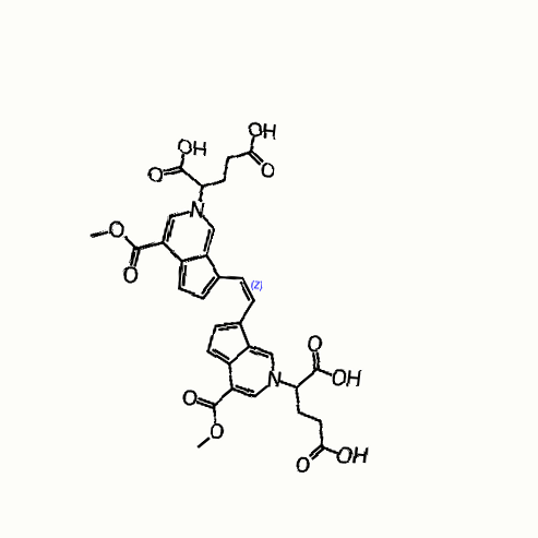 COC(=O)c1cn(C(CCC(=O)O)C(=O)O)cc2c(/C=C\c3ccc4c(C(=O)OC)cn(C(CCC(=O)O)C(=O)O)cc3-4)ccc1-2